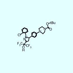 CC(C)(C)OC(=O)N1CCN(c2ccc(C3CC(C(O)(C(F)(F)F)C(F)(F)F)=NN3c3ccccc3Cl)cc2)CC1